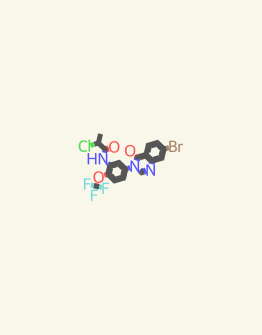 CC(Cl)C(=O)Nc1cc(-n2cnc3cc(Br)ccc3c2=O)ccc1OC(F)(F)F